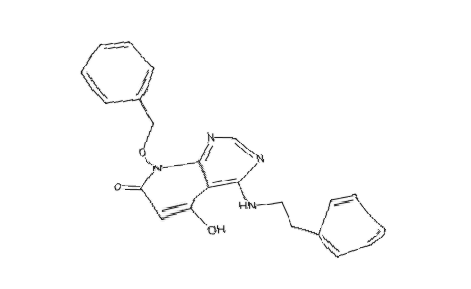 O=c1cc(O)c2c(NCCc3ccccc3)ncnc2n1OCc1ccccc1